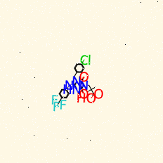 CC(C)(Cn1c(=O)[nH]/c(=N\c2ccc(C(F)(F)F)cc2)n(Cc2ccc(Cl)cc2)c1=O)C(=O)O